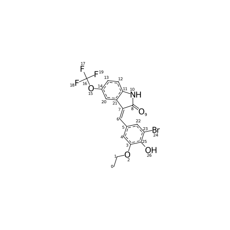 CCOc1cc(C=C2C(=O)Nc3ccc(OC(F)(F)F)cc32)cc(Br)c1O